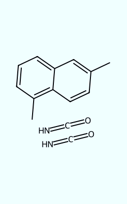 Cc1ccc2c(C)cccc2c1.N=C=O.N=C=O